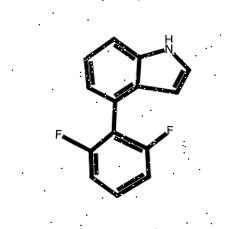 Fc1cccc(F)c1-c1cccc2[nH]ccc12